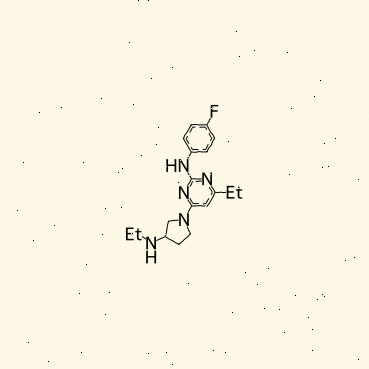 CCNC1CCN(c2cc(CC)nc(Nc3ccc(F)cc3)n2)C1